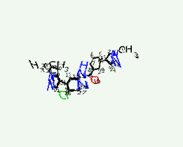 Cn1cc([C@@H]2CCCC(C(=O)Nc3cc(-c4cnn5c4CC(C)(C)C5)c(Cl)cn3)C2)cn1